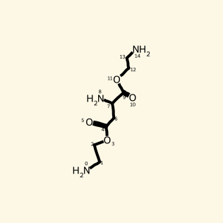 NCCOC(=O)CC(N)C(=O)OCCN